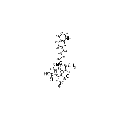 CC(C)[C@H]1COc2cc(F)cc(C(C(=O)O)N3CC[C@@H](OCCCCc4ccc5c(n4)NCCC5)C3)c2O1